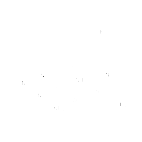 COC1=NC(c2cc(F)ccc2[C@H]2Cc3nc(N)nc(C)c3C(=O)N2)CS1